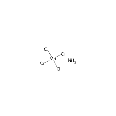 N.[Cl][Mn]([Cl])([Cl])[Cl]